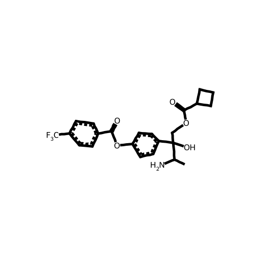 CC(N)C(O)(COC(=O)C1CCC1)c1ccc(OC(=O)c2ccc(C(F)(F)F)cc2)cc1